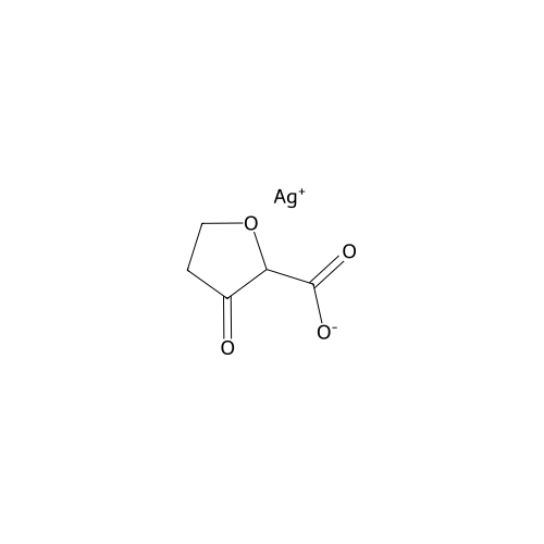 O=C([O-])C1OCCC1=O.[Ag+]